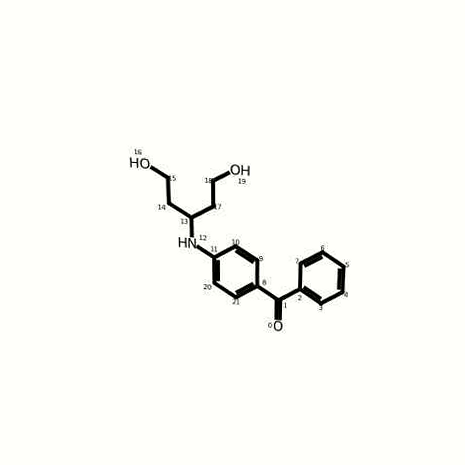 O=C(c1ccccc1)c1ccc(NC(CCO)CCO)cc1